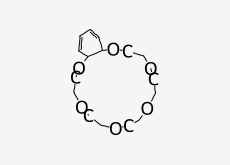 C1=CC2OCCOCCOCCOCCOCCOC2C=C1